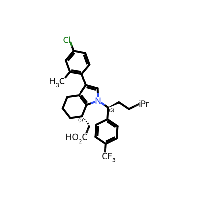 Cc1cc(Cl)ccc1-c1cn([C@@H](CCC(C)C)c2ccc(C(F)(F)F)cc2)c2c1CCC[C@H]2CC(=O)O